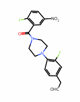 O=CCc1ccc(N2CCN(C(=O)c3cc([N+](=O)[O-])ccc3F)CC2)c(F)c1